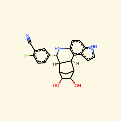 N#Cc1cc([C@@H]2Nc3ccc4[nH]ccc4c3[C@H]3C4CC([C@@H]23)[C@H](O)[C@@H]4O)ccc1F